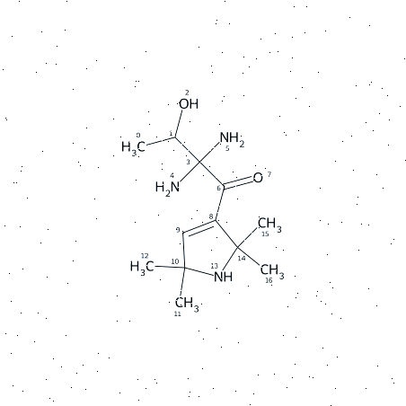 CC(O)C(N)(N)C(=O)C1=CC(C)(C)NC1(C)C